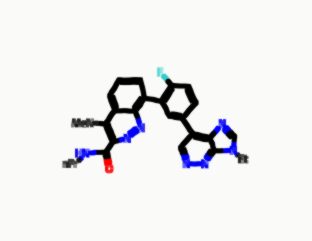 CCCNC(=O)c1nnc2c(-c3cc(-c4cnnc5c4ncn5CC)ccc3F)cccc2c1NC